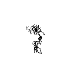 CC(C)(C)OC(=O)NCC12CCC(C(=O)CNC(=O)c3ccnc(Cl)n3)(CC1)CC2